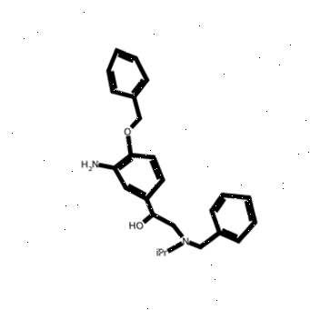 CC(C)N(Cc1ccccc1)CC(O)c1ccc(OCc2ccccc2)c(N)c1